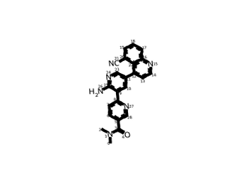 CN(C)C(=O)c1ccc(-c2cc(-c3ccnc4cccc(C#N)c34)cnc2N)nc1